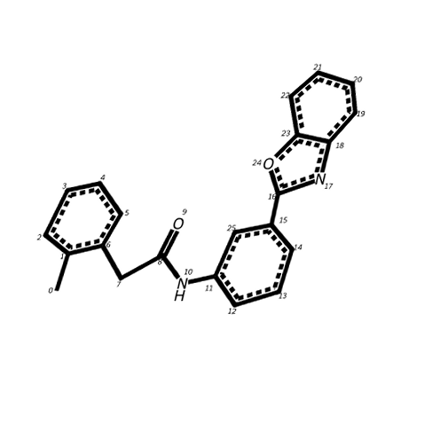 Cc1ccccc1CC(=O)Nc1cccc(-c2nc3ccccc3o2)c1